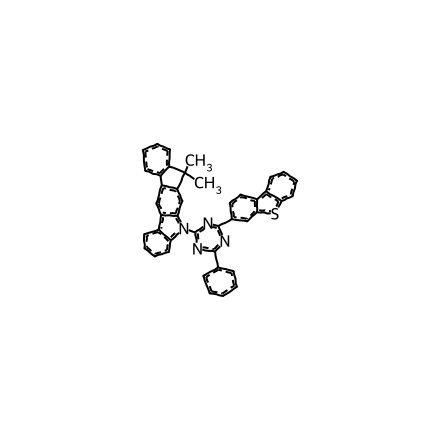 CC1(C)c2ccccc2-c2cc3c4ccccc4n(-c4nc(-c5ccccc5)nc(-c5ccc6c(c5)sc5ccccc56)n4)c3cc21